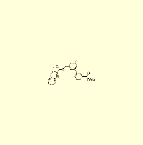 COC(=O)c1cccc(-c2cc(C)cc(COC3OCc4cc5ccccc5nc43)c2)c1